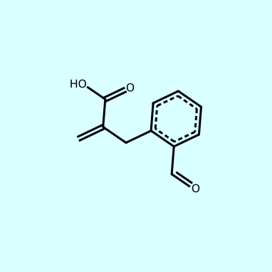 C=C(Cc1ccccc1C=O)C(=O)O